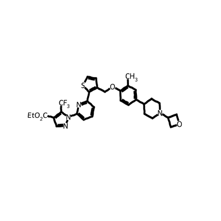 CCOC(=O)c1cnn(-c2cccc(-c3sccc3COc3ccc(C4CCN(C5COC5)CC4)cc3C)n2)c1C(F)(F)F